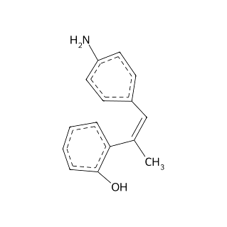 CC(=Cc1ccc(N)cc1)c1ccccc1O